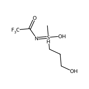 C[SH](O)(CCCO)=NC(=O)C(F)(F)F